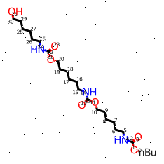 CCCCOC(=O)NCCCCCCOC(=O)NCCCCCCOC(=O)NCCCCCCO